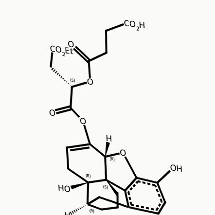 CCOC(=O)C[C@H](OC(=O)CCC(=O)O)C(=O)OC1=CC[C@@]2(O)[C@@H]3CCC[C@@]24c2c(ccc(O)c2O[C@@H]14)C3